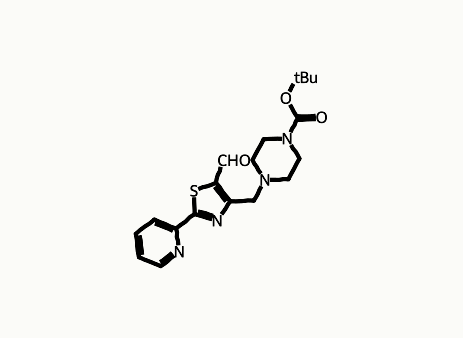 CC(C)(C)OC(=O)N1CCN(Cc2nc(-c3ccccn3)sc2C=O)CC1